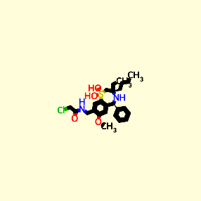 CCCC[C@]1(CC)CS(O)(O)c2cc(CNC(=O)CCl)c(OC)cc2[C@@H](c2ccccc2)N1